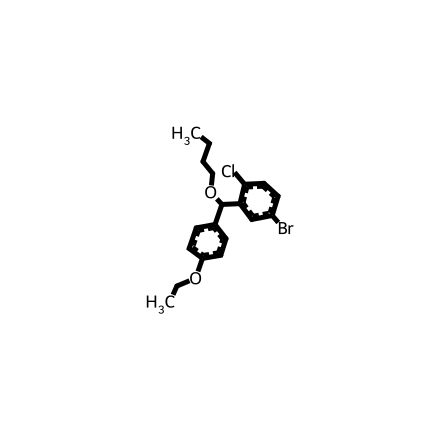 CCCCOC(c1ccc(OCC)cc1)c1cc(Br)ccc1Cl